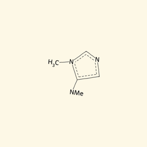 CNc1cncn1C